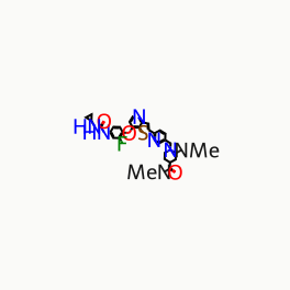 CNC(=O)C1CCN(Cc2ccc(-c3cc4nccc(Oc5ccc(NC(=O)NC6CC6)cc5F)c4s3)nc2)C(NC)C1